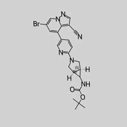 CC(C)(C)OC(=O)NC1[C@H]2CN(c3ccc(-c4cc(Br)cn5ncc(C#N)c45)cn3)C[C@@H]12